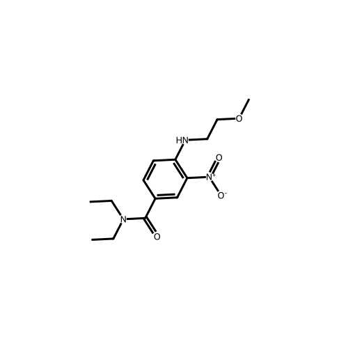 CCN(CC)C(=O)c1ccc(NCCOC)c([N+](=O)[O-])c1